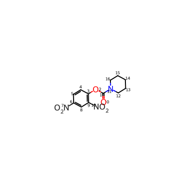 O=C(Oc1ccc([N+](=O)[O-])cc1[N+](=O)[O-])N1CCCCC1